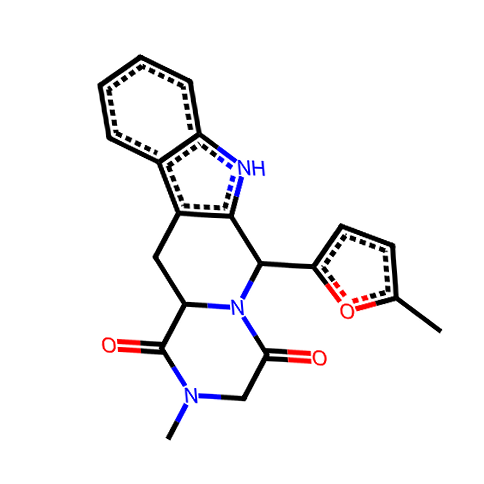 Cc1ccc(C2c3[nH]c4ccccc4c3CC3C(=O)N(C)CC(=O)N32)o1